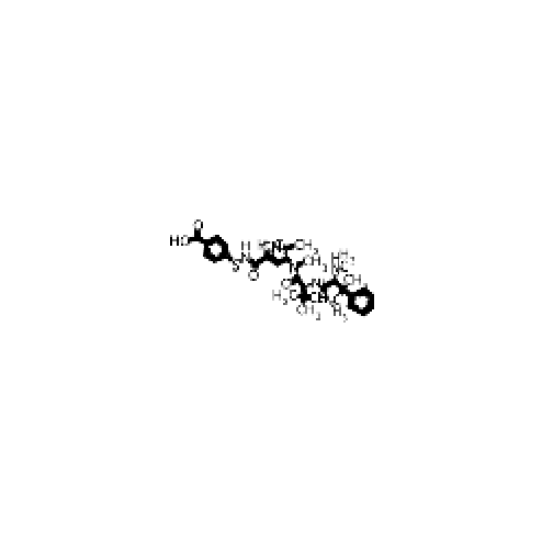 CN[C@H](C(=O)N[C@H](C(=O)N(C)[C@H](/C=C(\C)C(=O)NSc1ccc(C(=O)O)cc1)C(C)C)C(C)(C)C)C(C)(C)c1ccccc1